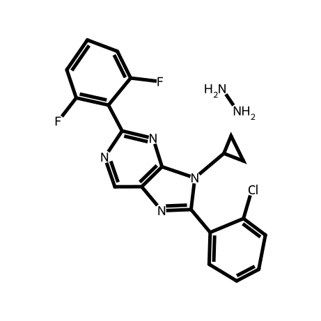 Fc1cccc(F)c1-c1ncc2nc(-c3ccccc3Cl)n(C3CC3)c2n1.NN